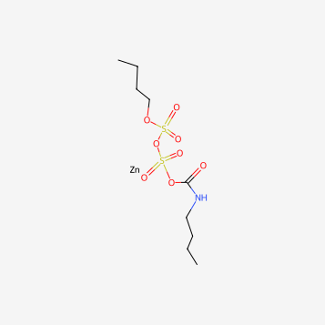 CCCCNC(=O)OS(=O)(=O)OS(=O)(=O)OCCCC.[Zn]